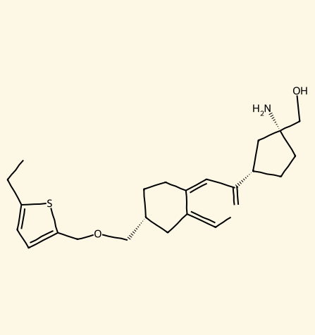 C=C(/C=C1/CC[C@@H](COCc2ccc(CC)s2)C/C1=C/C)[C@H]1CC[C@](N)(CO)C1